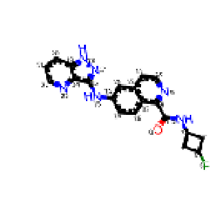 O=C(NC1CC(F)C1)c1nccc2cc(Nc3n[nH]c4cccnc34)ccc12